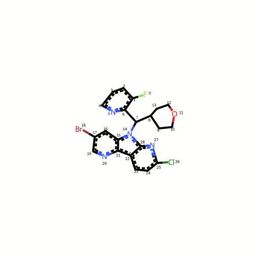 Fc1cccnc1C(C1CCOCC1)n1c2cc(Br)cnc2c2ccc(Cl)nc21